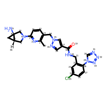 Cc1nc(N2C[C@@H]3C[C@]3(N)C2)ccc1Cn1cc(C(=O)NCc2cc(Cl)ccc2-n2cnnn2)cn1